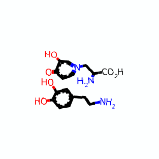 NC(Cn1ccc(=O)c(O)c1)C(=O)O.NCCc1ccc(O)c(O)c1